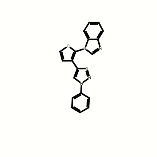 c1ccc(-n2cc(-c3ccoc3-n3cnc4ccccc43)nn2)cc1